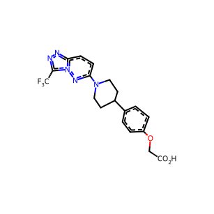 O=C(O)COc1ccc(C2CCN(c3ccc4nnc(C(F)(F)F)n4n3)CC2)cc1